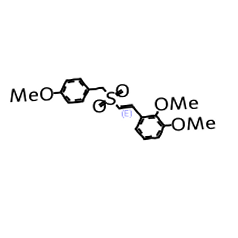 COc1ccc(CS(=O)(=O)/C=C/c2cccc(OC)c2OC)cc1